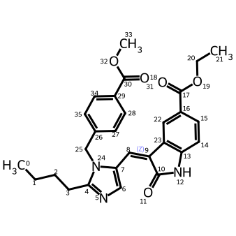 CCCCc1ncc(/C=C2\C(=O)Nc3ccc(C(=O)OCC)cc32)n1Cc1ccc(C(=O)OC)cc1